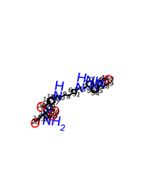 N=C/C(=C\NC1CC(CCCNc2ccc3c(c2)C(=O)N(C(CCC=O)C(N)=O)C3=O)C1)c1cccc(N2CCOCC2)n1